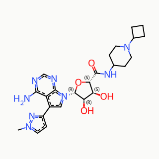 Cn1ccc(-c2cn([C@@H]3O[C@H](C(=O)NC4CCN(C5CCC5)CC4)[C@@H](O)[C@H]3O)c3ncnc(N)c23)n1